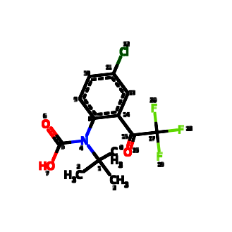 CC(C)(C)N(C(=O)O)c1ccc(Cl)cc1C(=O)C(F)(F)F